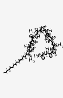 CCCCCCCCCCCCCCCC(N)c1cn(C)c(Nc2cc(C(=O)NCCC(N)c3cn(C)c(Nc4cc(C(=O)NCCC(N)c5cn(C)c(C(=O)NCCC(=O)O)n5)n(C)c4)n3)n(C)c2)n1